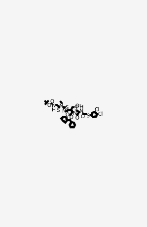 CCN(C(=S)CNC(=O)OC(C)(C)C)c1ncc(C2=C(C(=O)OC(c3ccccc3)c3ccccc3)N3C(=O)C(NC(=O)CSc4ccc(Cl)c(Cl)c4)C3[S+]([O-])C2)s1